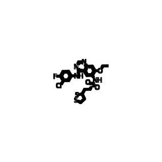 CCOc1cc2ncnc(Nc3ccc(F)c(Cl)c3)c2cc1NS(=O)(=O)CCC1CCSS1